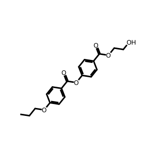 CCCOc1ccc(C(=O)Oc2ccc(C(=O)OCCO)cc2)cc1